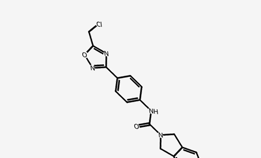 O=C(Nc1ccc(-c2noc(CCl)n2)cc1)N1Cc2ccccc2C1